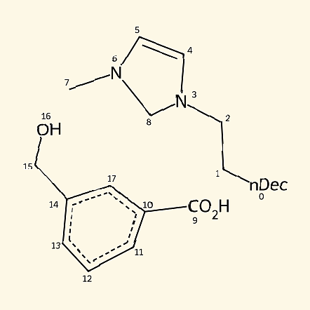 CCCCCCCCCCCCN1C=CN(C)C1.O=C(O)c1cccc(CO)c1